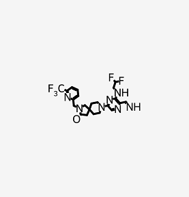 N=Cc1ncc(N2CCC3(CC2)CC(=O)N(Cc2cccc(C(F)(F)F)n2)C3)nc1NCC(F)F